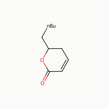 CCCCCC1CC=CC(=O)O1